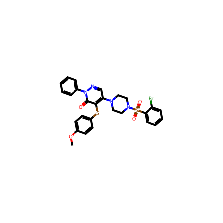 COc1ccc(Sc2c(N3CCN(S(=O)(=O)c4ccccc4Br)CC3)cnn(-c3ccccc3)c2=O)cc1